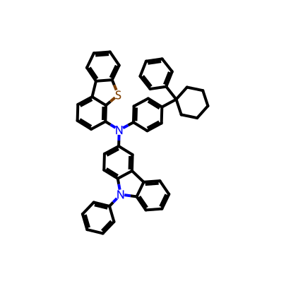 c1ccc(-n2c3ccccc3c3cc(N(c4ccc(C5(c6ccccc6)CCCCC5)cc4)c4cccc5c4sc4ccccc45)ccc32)cc1